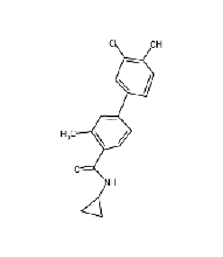 Cc1cc(-c2ccc(O)c(Cl)c2)ccc1C(=O)NC1CC1